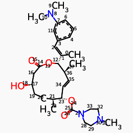 C/C(=C\c1cccc(N(C)C)c1)[C@H]1OC(=O)C[C@H](O)CC[C@H](C)[C@@H](OC(=O)N2CCN(C)CC2)/C=C/[C@@H]1C